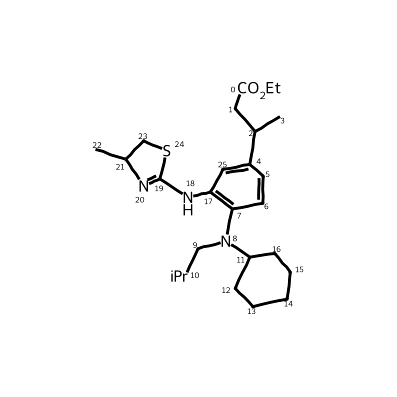 CCOC(=O)CC(C)c1ccc(N(CC(C)C)C2CCCCC2)c(NC2=NC(C)CS2)c1